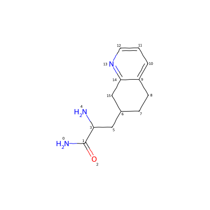 NC(=O)C(N)CC1CCc2cccnc2C1